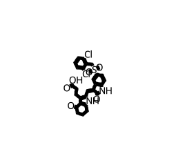 O=C(O)CCc1c(C=C2C(=O)Nc3ccc(S(=O)(=O)Cc4c(Cl)cccc4Cl)cc32)[nH]c2c1C(=O)CCC2